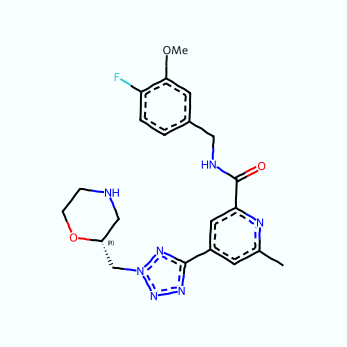 COc1cc(CNC(=O)c2cc(-c3nnn(C[C@H]4CNCCO4)n3)cc(C)n2)ccc1F